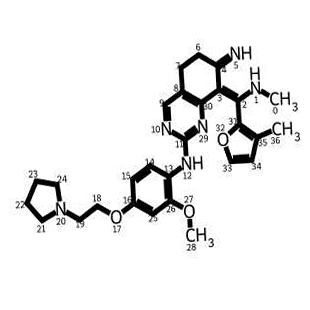 CN/C(=C1\C(=N)CCc2cnc(Nc3ccc(OCCN4CCCC4)cc3OC)nc21)c1occc1C